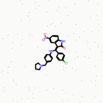 O=C1Nc2ccc([N+](=O)[O-])cc2C1=C(Nc1ccc(CN2CCCC2)cc1)c1ccc(Cl)cc1